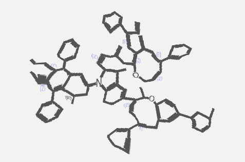 C=C/C=c1/c(-c2ccccc2)c2c(c(-c3ccccc3)/c1=C/C)[C@H](C)CC(n1c(/C=C\C(=C)C/C3=C(\C=C(/C=C)c4ccccc4)C(=C)/C=C(c4ccccc4)\C=C/CO3)c(C)c3c1CCC(/C1=C/C(C4=CCCC=C4)=C\Cc4cc(C5=CC=CC(C)C5)ccc4OC1C)=C3)=C2